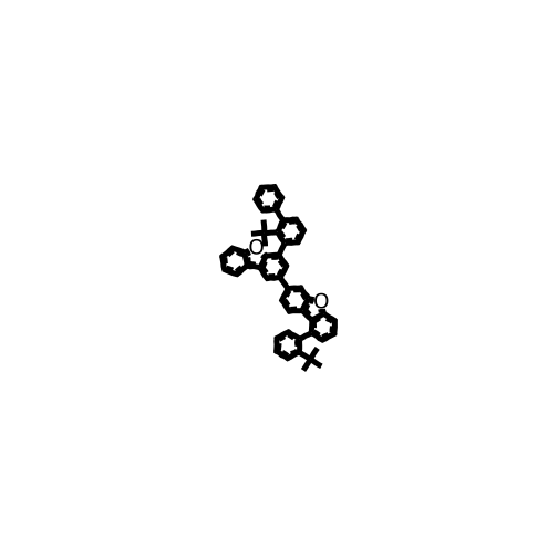 CC(C)(C)c1ccccc1-c1cccc2oc3cc(-c4cc(-c5cccc(-c6ccccc6)c5C(C)(C)C)c5oc6ccccc6c5c4)ccc3c12